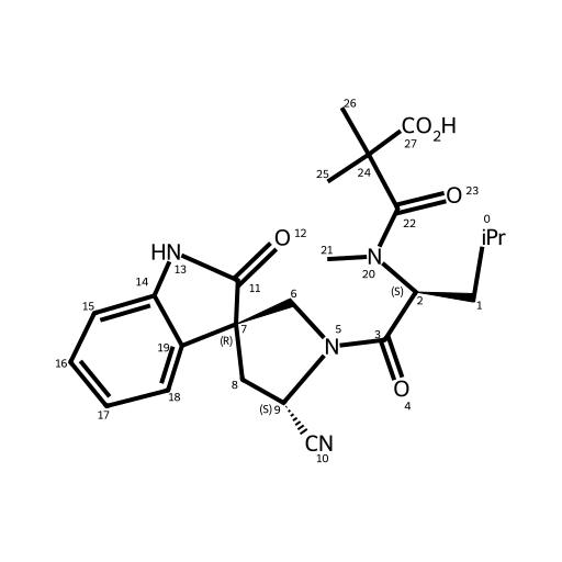 CC(C)C[C@@H](C(=O)N1C[C@]2(C[C@H]1C#N)C(=O)Nc1ccccc12)N(C)C(=O)C(C)(C)C(=O)O